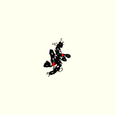 O=C1C(=Cc2cc3c(s2)-c2sc4c5c(sc4c2C3(C(=O)OCc2ccccc2)C(=O)OCc2ccccc2)-c2sc(/C=C3\C(=O)c4cc(F)c(F)cc4C3O)cc2C5(C(=O)OCc2ccccc2)C(=O)OCc2ccccc2)C(=O)c2cc(F)c(F)cc21